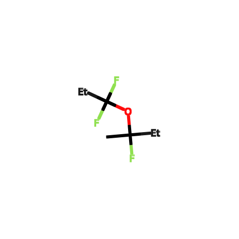 CCC(C)(F)OC(F)(F)CC